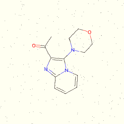 CC(=O)c1nc2ccccn2c1N1CCOCC1